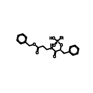 CCP(=O)(O)O[C@@H](Cc1ccccc1)C(=O)NCCC(=O)OCc1ccccc1